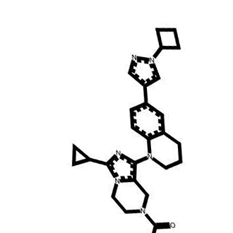 CC(=O)N1CCn2c(C3CC3)nc(N3CCCc4cc(-c5cnn(C6CCC6)c5)ccc43)c2C1